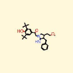 COCCC1CN(CC(=O)c2cc(C(C)(C)C)c(O)c(C(C)(C)C)c2)C(=N)C1Cc1ccccc1